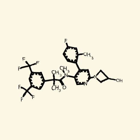 Cc1cc(F)ccc1-c1cc(N2CC(O)C2)ncc1N(C)C(=O)C(C)(C)c1cc(C(F)(F)F)cc(C(F)(F)F)c1